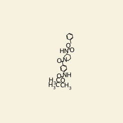 CC(C)(C)OC(=O)Nc1ccc(C(=O)N2CCCC(NC(=O)OCc3ccccc3)C2)cc1